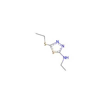 CCNc1nnc(SCC)s1